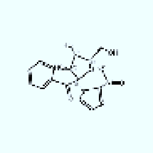 O=C(c1ccccc1)[C@]1(n2ccnc2[N+](=O)[O-])O[C@H](CO)[C@@H](O)[C@@H]1O